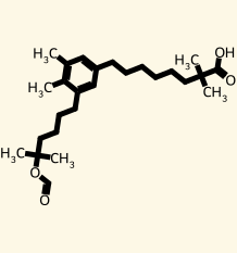 Cc1cc(CCCCCCC(C)(C)C(=O)O)cc(CCCCC(C)(C)OC=O)c1C